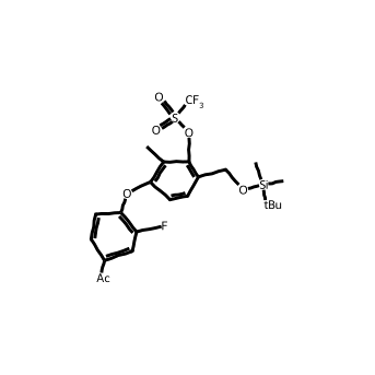 CC(=O)c1ccc(Oc2ccc(CO[Si](C)(C)C(C)(C)C)c(OS(=O)(=O)C(F)(F)F)c2C)c(F)c1